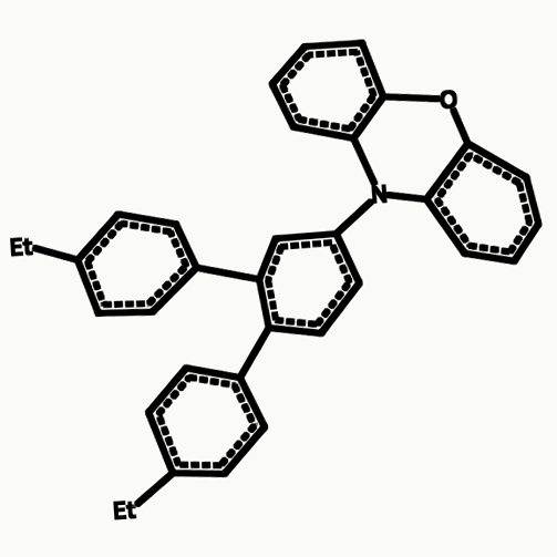 CCc1ccc(-c2ccc(N3c4ccccc4Oc4ccccc43)cc2-c2ccc(CC)cc2)cc1